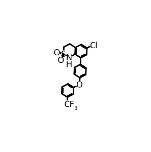 O=S1(=O)CCc2cc(Cl)cc(-c3ccc(Oc4cccc(C(F)(F)F)c4)cc3)c2N1